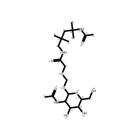 CC(=O)NC1C(OCOCC(=O)NCC(C)(C)CC(C)(C)NC(C)=O)OC(CO)C(O)C1O